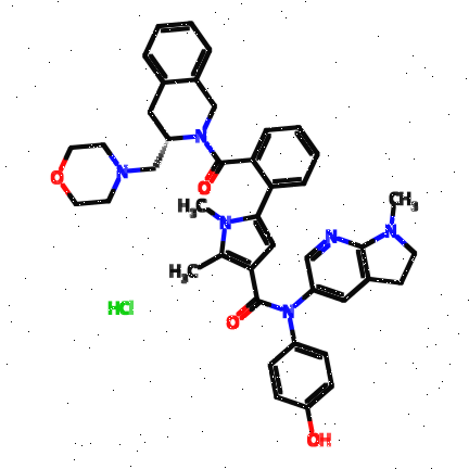 Cc1c(C(=O)N(c2ccc(O)cc2)c2cnc3c(c2)CCN3C)cc(-c2ccccc2C(=O)N2Cc3ccccc3C[C@H]2CN2CCOCC2)n1C.Cl